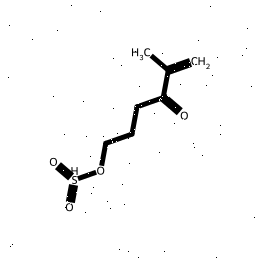 C=C(C)C(=O)CCCO[SH](=O)=O